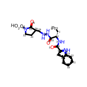 CC(C)C[C@H](NC(=O)c1cc2ccccc2[nH]1)C(=O)NNCC1CCN(C(=O)O)C1=O